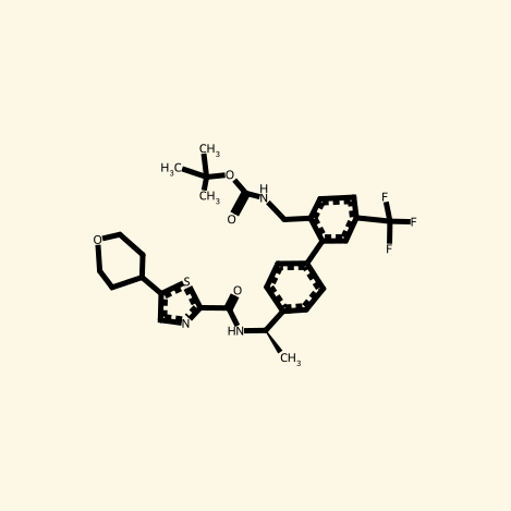 C[C@@H](NC(=O)c1ncc(C2CCOCC2)s1)c1ccc(-c2cc(C(F)(F)F)ccc2CNC(=O)OC(C)(C)C)cc1